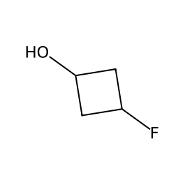 OC1CC(F)C1